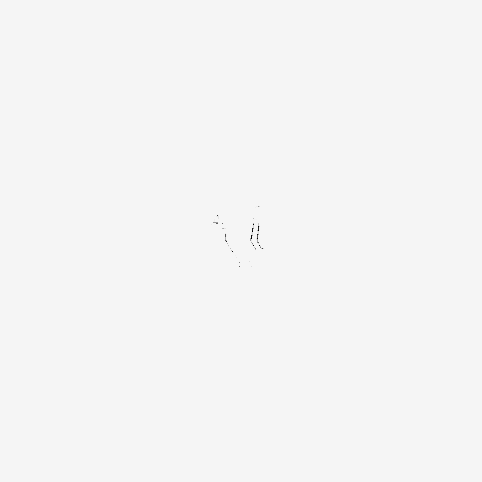 [C]=O.[Cl][Au]